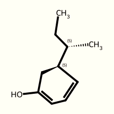 CC[C@H](C)[C@H]1C=CC=C(O)C1